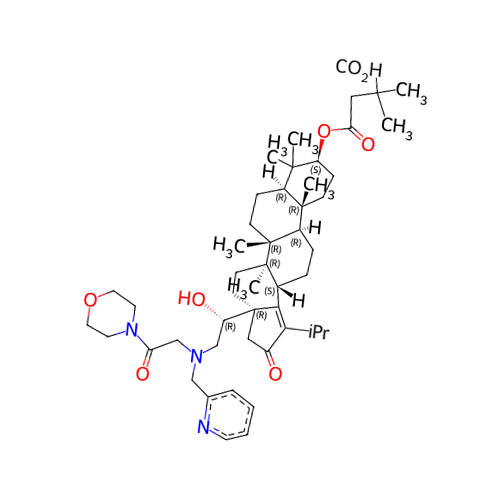 CC(C)C1=C2[C@H]3CC[C@@H]4[C@@]5(C)CC[C@H](OC(=O)CC(C)(C)C(=O)O)C(C)(C)[C@@H]5CC[C@@]4(C)[C@]3(C)CC[C@@]2([C@@H](O)CN(CC(=O)N2CCOCC2)Cc2ccccn2)CC1=O